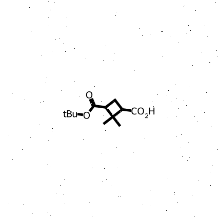 CC(C)(C)OC(=O)C1CC(C(=O)O)C1(C)C